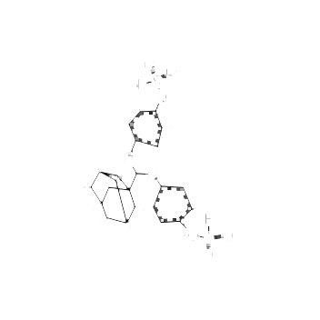 O=S(=O)(F)Oc1ccc(OC(Oc2ccc(OS(=O)(=O)F)cc2)C23CC4CC(CC(C4)C2)C3)cc1